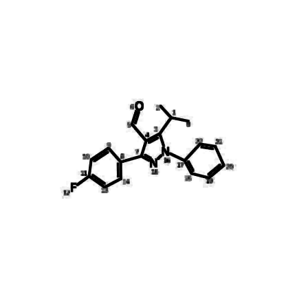 CC(C)c1c(C=O)c(-c2ccc(F)cc2)nn1-c1ccccc1